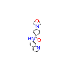 O=C(Nc1ccc2cccnc2c1)c1ccc(N2CCOCC2)cc1